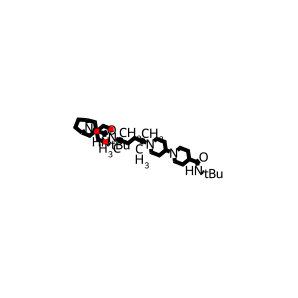 CC(C)(C)NC(=O)C1CCN(C2CCN(C(C)(C)CCC(C)(C)N3CCC(N4C5CCC4CC(C(=O)NC(C)(C)C)C5)CC3)CC2)CC1